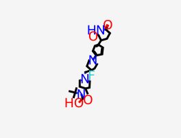 CC(C)(C)N(C(=O)O)C1(C)CCN(CC2(F)CCN(c3ccc(C4CCC(=O)NC4=O)cc3)CC2)CC1